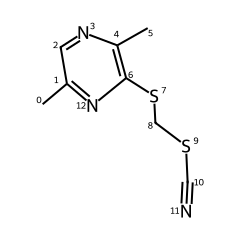 Cc1cnc(C)c(SCSC#N)n1